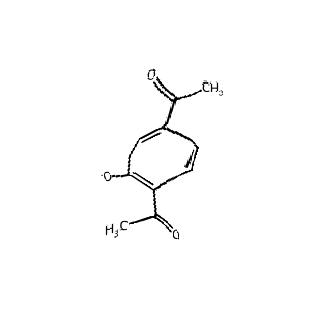 CC(=O)c1ccc(C(C)=O)c([O])c1